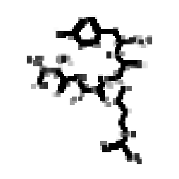 C[C@H](NC(=O)[C@@H](N)[C@@H](C)O)C(=O)N[C@@H](CCCCNC(=N)N)C(=O)N[C@@H](Cc1ccc(O)cc1)C(=O)O